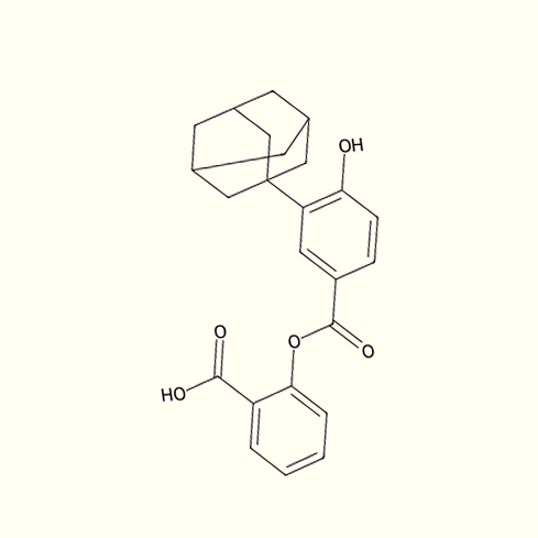 O=C(Oc1ccccc1C(=O)O)c1ccc(O)c(C23CC4CC(CC(C4)C2)C3)c1